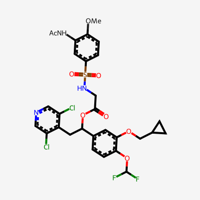 COc1ccc(S(=O)(=O)NCC(=O)OC(Cc2c(Cl)cncc2Cl)c2ccc(OC(F)F)c(OCC3CC3)c2)cc1NC(C)=O